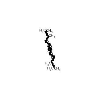 CC(C)CCCC(C)CCc1ccc(-c2cc3sc4cc5c(cc4c3s2)sc2cc(-c3ccc(CCC(C)CCCC(C)C)s3)sc25)s1